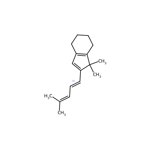 CC(C)=C/C=C/C1=CC2=C(CCCC2)C1(C)C